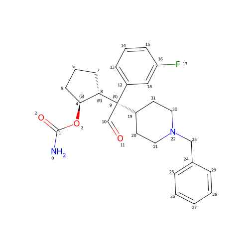 NC(=O)O[C@H]1CCC[C@@H]1[C@](C=O)(c1cccc(F)c1)C1CCN(Cc2ccccc2)CC1